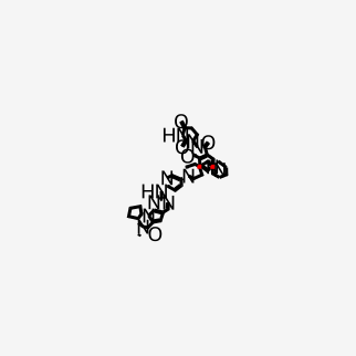 CN(C)C(=O)c1cc2cnc(Nc3ccc(N4CCC(CN5CC6CC(C5)N6c5ccc6c(c5)C(=O)N(N5CCC(=O)NC5=O)C6=O)CC4)cn3)nc2n1C1CCCC1